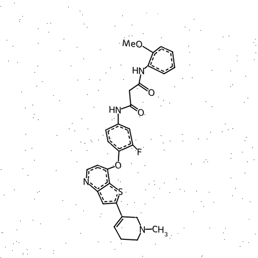 COc1ccccc1NC(=O)CC(=O)Nc1ccc(Oc2ccnc3cc(C4=CCCN(C)C4)sc23)c(F)c1